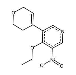 CCOc1c(C2=CCOCC2)cncc1[N+](=O)[O-]